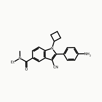 CCN(C)C(=O)c1ccc2c(c1)c(C#N)c(-c1ccc(N)cc1)n2C1CCC1